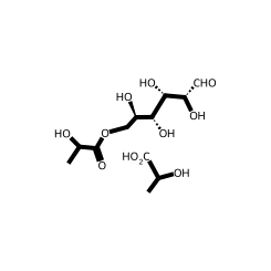 CC(O)C(=O)O.CC(O)C(=O)OC[C@@H](O)[C@@H](O)[C@H](O)[C@@H](O)C=O